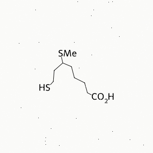 CSC(CCS)CCCCC(=O)O